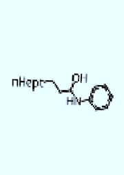 CCCCCCCCCC(O)Nc1ccccc1